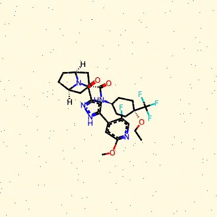 CCO[C@]1(C(F)(F)F)CC[C@@H](NC(=O)[C@@H]2C[C@H]3CC[C@@H](C2)N3C(=O)c2cc(-c3cc(OC)ncc3F)[nH]n2)CC1